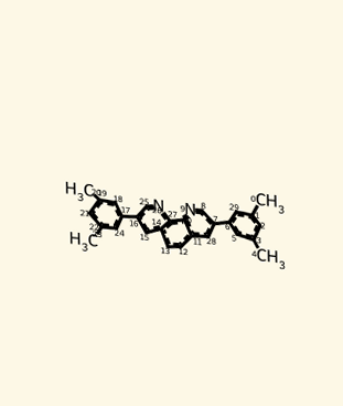 Cc1cc(C)cc(-c2cnc3c(ccc4cc(-c5cc(C)cc(C)c5)cnc43)c2)c1